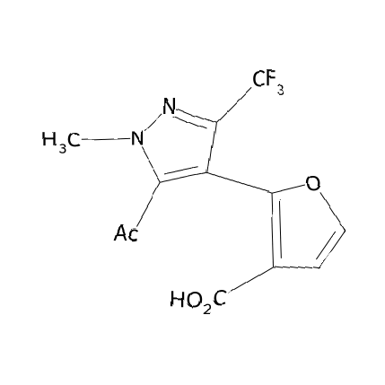 CC(=O)c1c(-c2occc2C(=O)O)c(C(F)(F)F)nn1C